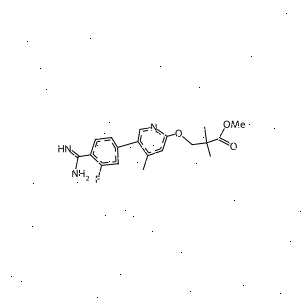 COC(=O)C(C)(C)COc1cc(C)c(-c2ccc(C(=N)N)c(F)c2)cn1